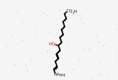 CCCCCC=CCC=CCC(O)CCCCCCCCC(=O)O